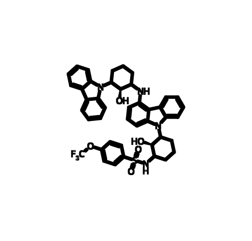 O=S(=O)(NC1CCCC(n2c3ccccc3c3c(NC4CCCC(n5c6ccccc6c6ccccc65)[C@@H]4O)cccc32)[C@@H]1O)c1ccc(OC(F)(F)F)cc1